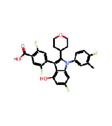 Cc1cc(-n2c(C3CCOCC3)c(-c3cc(F)c(C(=O)O)cc3F)c3c(O)cc(F)cc32)ccc1F